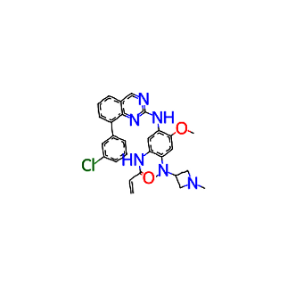 C=CC(=O)Nc1cc(Nc2ncc3cccc(-c4cccc(Cl)c4)c3n2)c(OC)cc1N(C)C1CN(C)C1